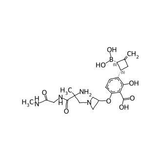 C=C1C[C@H](c2ccc(OC3CN(CC(C)(N)C(=O)NCC(=O)NC)C3)c(C(=O)O)c2O)[C@@H]1B(O)O